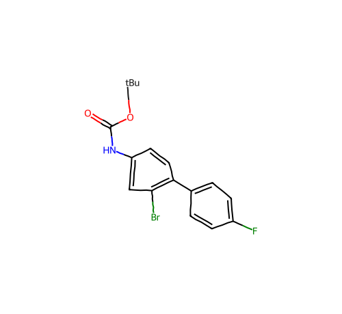 CC(C)(C)OC(=O)Nc1ccc(-c2ccc(F)cc2)c(Br)c1